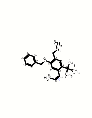 COCc1cc(C(C)(C)C)c(/C=C\N)cc1OCc1ccccc1